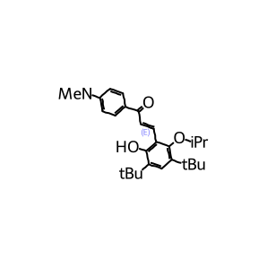 CNc1ccc(C(=O)/C=C/c2c(O)c(C(C)(C)C)cc(C(C)(C)C)c2OC(C)C)cc1